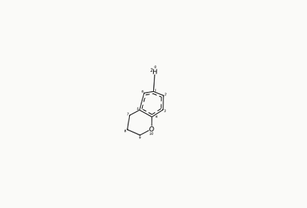 [2H]c1ccc2c(c1)CCCO2